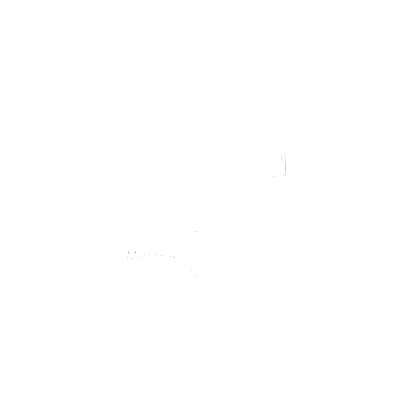 COC(=O)CCCCc1ccsc1